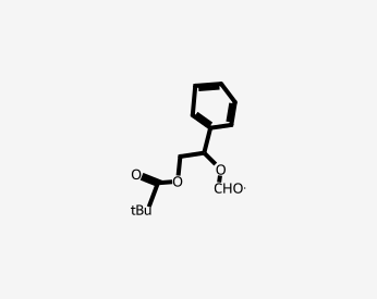 CC(C)(C)C(=O)OCC(O[C]=O)c1ccccc1